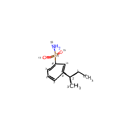 CCC(C)c1cccc(S(N)(=O)=O)c1